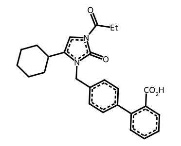 CCC(=O)n1cc(C2CCCCC2)n(Cc2ccc(-c3ccccc3C(=O)O)cc2)c1=O